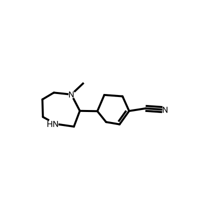 CN1CCCNCC1C1CC=C(C#N)CC1